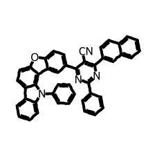 N#Cc1c(-c2ccc3ccccc3c2)nc(-c2ccccc2)nc1-c1ccc2oc3ccc4c5ccccc5n(-c5ccccc5)c4c3c2c1